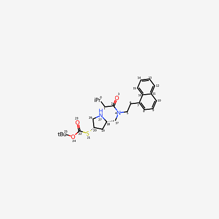 CC(C)CC(=O)N(CCc1cccc2ccccc12)C[C@@H]1C[C@H](SC(=O)OC(C)(C)C)CN1